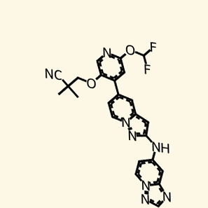 CC(C)(C#N)COc1cnc(OC(F)F)cc1-c1ccn2nc(Nc3ccn4ncnc4c3)cc2c1